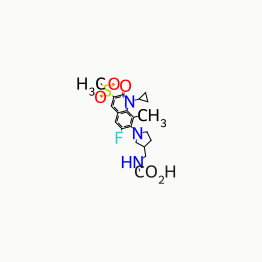 Cc1c(N2CCC(CNC(=O)O)C2)c(F)cc2cc(S(C)(=O)=O)c(=O)n(C3CC3)c12